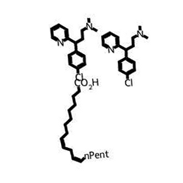 CCCCC/C=C\C/C=C\CCCCCCCC(=O)O.CN(C)CCC(c1ccc(Cl)cc1)c1ccccn1.CN(C)CCC(c1ccc(Cl)cc1)c1ccccn1